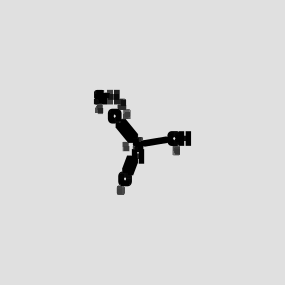 O=[SH](=O)O.[SrH2]